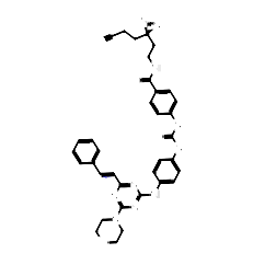 C#CCCC1(CCNC(=O)c2ccc(NC(=O)Nc3ccc(Nc4nc(/C=C/c5ccccc5)nc(N5CCOCC5)n4)cc3)cc2)N=N1